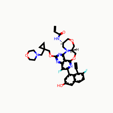 C#Cc1c(F)ccc2cc(O)cc(-c3nc4c5c(nc(OCC6(CN7CCOCC7)CC6)nc5c3F)N3C[C@H](NC(=O)C=C)COC[C@@H]3CO4)c12